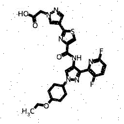 CCOC1CCC(n2cc(NC(=O)c3csc(-c4cnn(CC(=O)O)c4)n3)c(-c3nc(F)ccc3F)n2)CC1